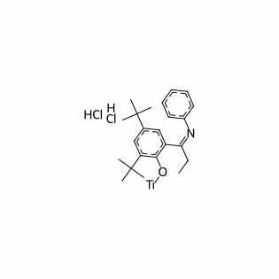 CCC(=Nc1ccccc1)c1cc(C(C)(C)C)cc(C(C)(C)C)c1[O][Ti].Cl.Cl